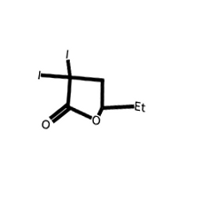 CCC1CC(I)(I)C(=O)O1